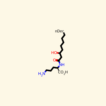 CCCCCCCCCCCCCCCC(O)CC(=O)N[C@H](CCCN)C(=O)O